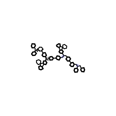 C1=C(c2ccc(N(c3ccc(-c4ccc(/C=C(/Cc5ccc(-c6cccc(/C=C(/Cc7ccccc7)c7ccccc7)c6)cc5)c5ccc6c(c5)C5(CCCCC5)c5ccccc5-6)cc4)cc3)c3ccc4c(c3)C3(CCCCC3)c3ccccc3-4)cc2)C=C(N(c2ccccc2)c2ccccc2)CC1